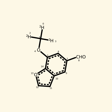 [2H]C([2H])([2H])Oc1cc(C=O)cc2ccoc12